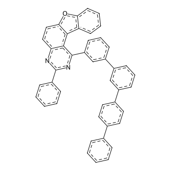 c1ccc(-c2ccc(-c3cccc(-c4cccc(-c5nc(-c6ccccc6)nc6ccc7oc8ccccc8c7c56)c4)c3)cc2)cc1